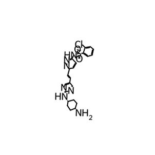 N[C@H]1CC[C@H](Nc2ncc(/C=C/c3ccc(NS(=O)(=O)c4ccccc4Cl)nn3)cn2)CC1